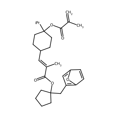 C=C(C)C(=O)OC1(C(C)C)CCC(/C=C(\C)C(=O)OC2(Cc3cc4ccc3o4)CCCC2)CC1